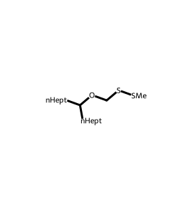 CCCCCCCC(CCCCCCC)OCSSC